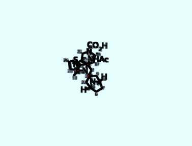 CC(=O)N[C@@H](CCN1[C@@H]2CC[C@H]1C[C@@H](n1c(C)nc3c1CCN(C(=O)O)C3)C2)c1nccs1